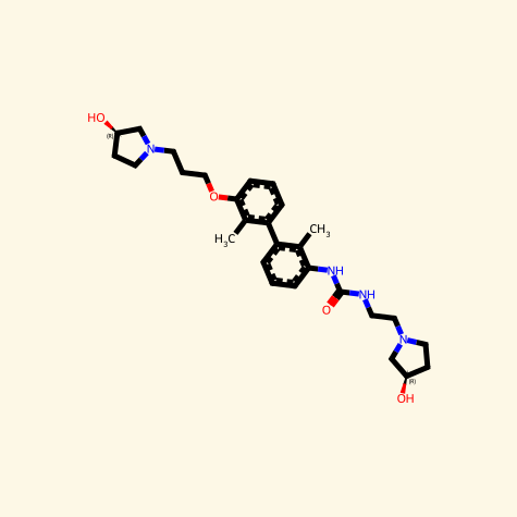 Cc1c(NC(=O)NCCN2CC[C@@H](O)C2)cccc1-c1cccc(OCCCN2CC[C@@H](O)C2)c1C